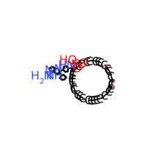 NNc1nccc2nc(-c3ccc(C4(NC(=O)O)CC5(CCCCCCCCCCCCCCCCCCCCCCCCCCCCCCCCCCCCCOCCO5)C4)cc3)c(-c3ccccc3)cc12